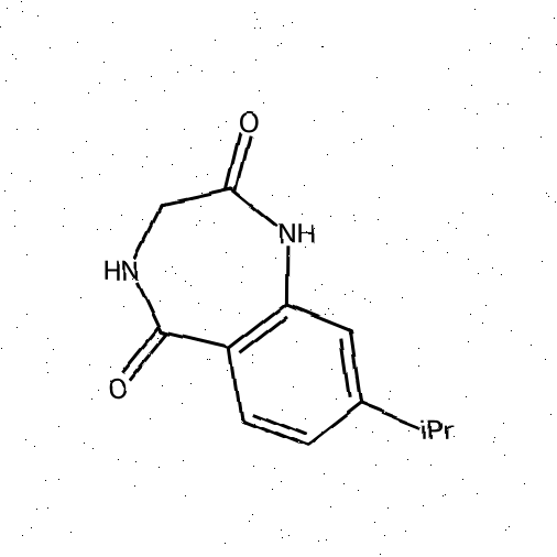 CC(C)c1ccc2c(c1)NC(=O)CNC2=O